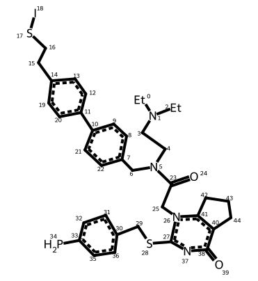 CCN(CC)CCN(Cc1ccc(-c2ccc(CCSI)cc2)cc1)C(=O)Cn1c(SCc2ccc(P)cc2)nc(=O)c2c1CCC2